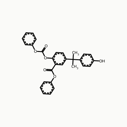 CC(C)(c1ccc(O)cc1)c1ccc(OC(=O)Oc2ccccc2)c(C(=O)Oc2ccccc2)c1